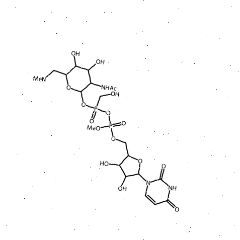 CNCC1OC(OP(=O)(CO)OP(=O)(OC)OCC2OC(n3ccc(=O)[nH]c3=O)C(O)C2O)C(NC(C)=O)C(O)C1O